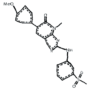 COc1ccc(-c2cc3cnc(Nc4cccc(S(C)(=O)=O)c4)nc3n(C)c2=O)cc1